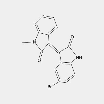 CN1C(=O)/C(=C2/C(=O)Nc3ccc(Br)cc32)c2ccccc21